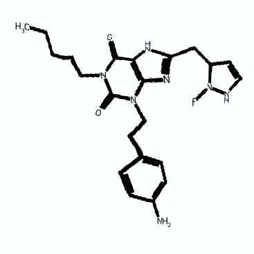 CCCCCn1c(=O)c2[nH]c(CC3C=CNN3F)nc2n(CCc2ccc(N)cc2)c1=O